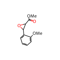 COC(=O)C1OC1c1ccccc1OC